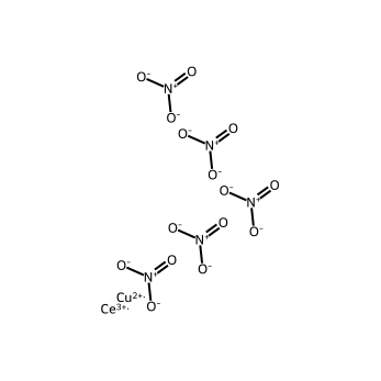 O=[N+]([O-])[O-].O=[N+]([O-])[O-].O=[N+]([O-])[O-].O=[N+]([O-])[O-].O=[N+]([O-])[O-].[Ce+3].[Cu+2]